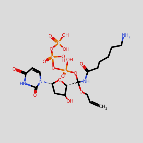 C=CCOC(NC(=O)CCCCCN)(OP(=O)(O)OP(=O)(O)OP(=O)(O)O)[C@H]1O[C@@H](n2ccc(=O)[nH]c2=O)C[C@@H]1O